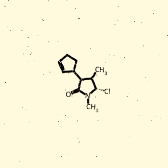 CC1C(C2C=CCC2)C(=O)N(C)[C@H]1Cl